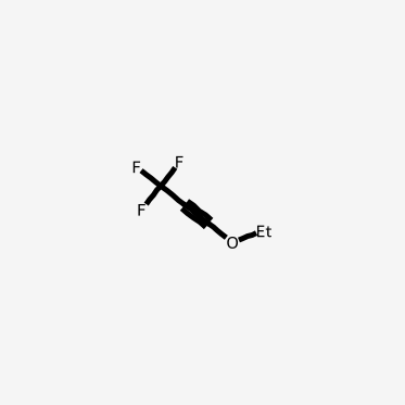 [CH2]COC#CC(F)(F)F